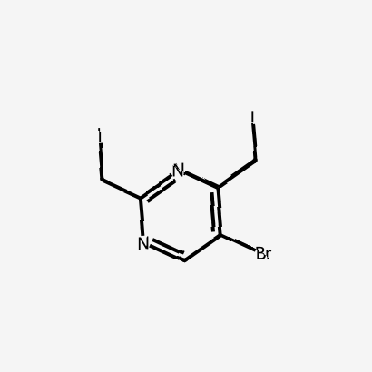 Brc1cnc(CI)nc1CI